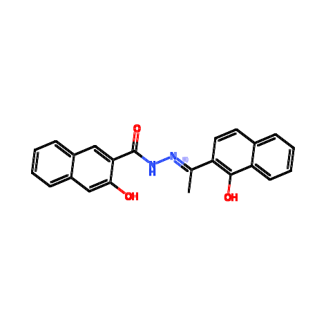 C/C(=N\NC(=O)c1cc2ccccc2cc1O)c1ccc2ccccc2c1O